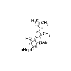 CCCCCCCc1cc(O)c(CC=C(C)CCC=C(C)C)c(OC)c1